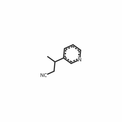 CC(CC#N)c1cccnc1